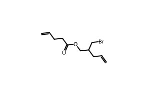 C=CCCC(=O)OCC(CBr)CC=C